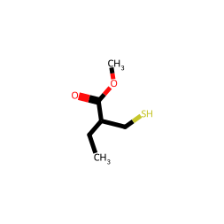 CCC(CS)C(=O)OC